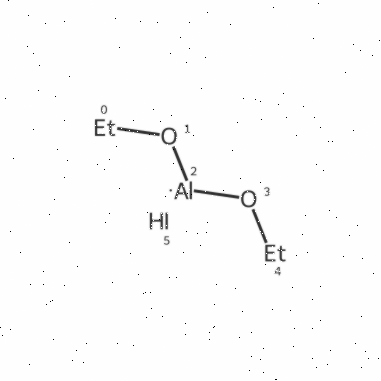 CC[O][Al][O]CC.I